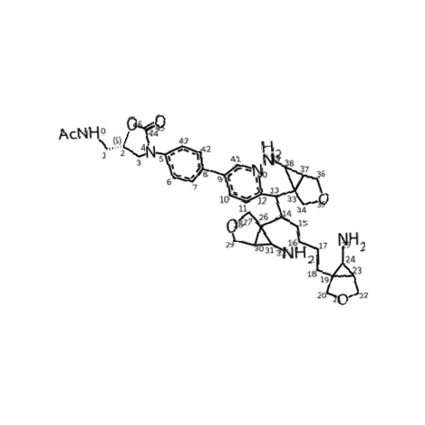 CC(=O)NC[C@H]1CN(c2ccc(-c3ccc(C(C(CCCCC45COCC4C5N)C45COCC4C5N)C45COCC4C5N)nc3)cc2)C(=O)O1